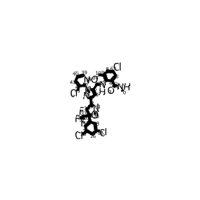 CNC(=O)c1cc(Cl)cc(C)c1NC(=O)c1cc(C2=NOC(c3cc(Cl)cc(Cl)c3)(C(F)(F)F)C2)nn1-c1ncccc1Cl